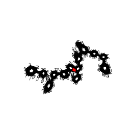 c1ccc(-c2ccc(-n3c4ccccc4c4cc(-c5ccc6c(c5)c5ccccc5n6-c5ccccc5-c5ccc(-c6cccc(-c7cccc(-c8ccc(-c9cccc(-c%10ccccc%10)c9)cc8)c7)c6)cc5)ccc43)cc2)cc1